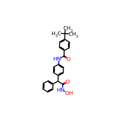 CC(C)(C)c1ccc(C(=O)Nc2ccc(C(C(=O)NO)c3ccccc3)cc2)cc1